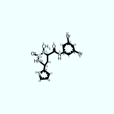 CN1C(C(=O)Nc2cc(Br)cc(Br)c2)CC(c2cccs2)N[S+]1[O-]